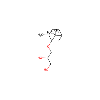 CC1CCC2CC1(OCC(O)CO)C2(C)C